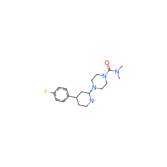 CN(C)C(=O)N1CCN([C@@H]2CC(c3ccc(F)cc3)CC[N]2)CC1